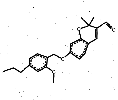 CCCc1ccc(COc2ccc3c(c2)OC(C)(C)C(C=O)=C3)c(OC)c1